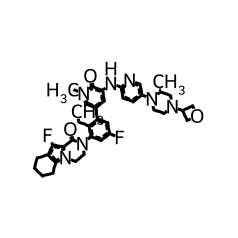 CCc1c(-c2cc(Nc3ccc(N4CCN(C5COC5)C[C@@H]4C)cn3)c(=O)n(C)c2)cc(F)cc1N1CCn2c3c(c(F)c2C1=O)CCCC3